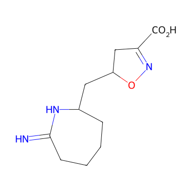 N=C1CCCCC(CC2CC(C(=O)O)=NO2)N1